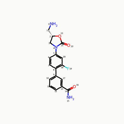 NC[C@H]1CN(c2ccc(-c3cccc(C(N)=O)c3)c(F)c2)C(=O)O1